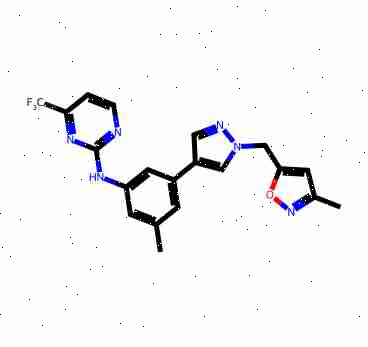 Cc1cc(Nc2nccc(C(F)(F)F)n2)cc(-c2cnn(Cc3cc(C)no3)c2)c1